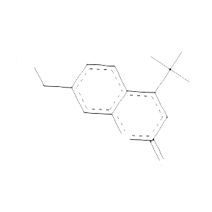 CCc1ccc2c(C(F)(F)F)cc(=O)oc2c1